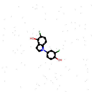 Oc1ccc(-n2ccc3c(O)c(F)ccc32)cc1F